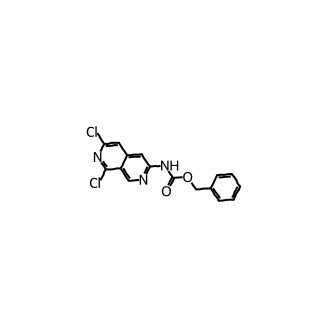 O=C(Nc1cc2cc(Cl)nc(Cl)c2cn1)OCc1ccccc1